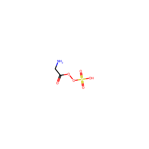 NCC(=O)OOS(=O)(=O)O